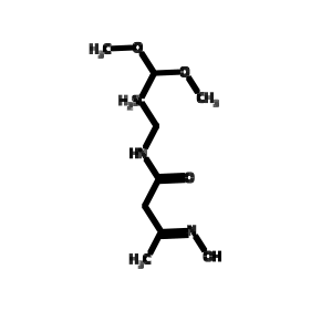 COC(OC)[SiH2]CNC(=O)CC(C)=NO